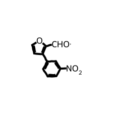 O=[C]c1occc1-c1cccc([N+](=O)[O-])c1